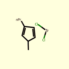 CCCC1=C[C](C)C=C1.[Cl][Zr][Cl]